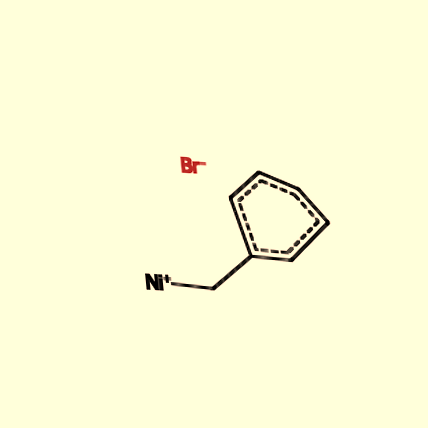 [Br-].[Ni+][CH2]c1ccccc1